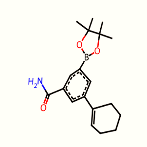 CC1(C)OB(c2cc(C(N)=O)cc(C3=CCCCC3)c2)OC1(C)C